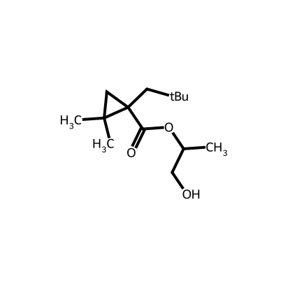 CC(CO)OC(=O)C1(CC(C)(C)C)CC1(C)C